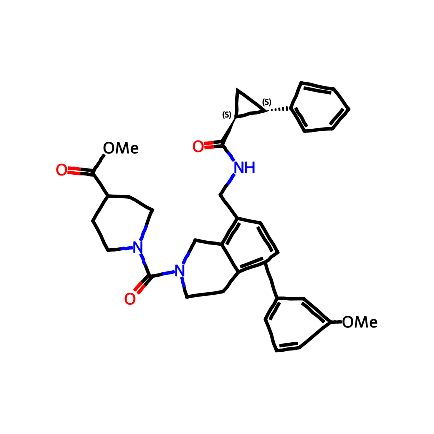 COC(=O)C1CCN(C(=O)N2CCc3c(-c4cccc(OC)c4)ccc(CNC(=O)[C@H]4C[C@@H]4c4ccccc4)c3C2)CC1